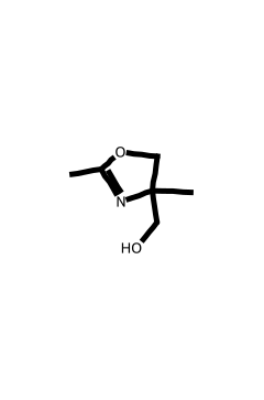 CC1=NC(C)(CO)CO1